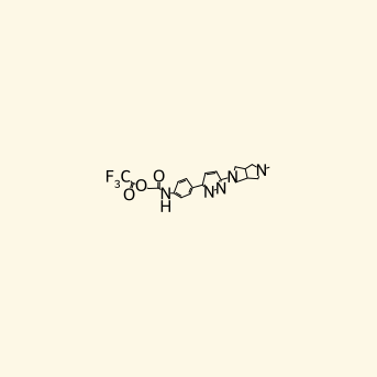 CN1CC2CN(c3ccc(-c4ccc(NC(=O)COC(=O)C(F)(F)F)cc4)nn3)CC2C1